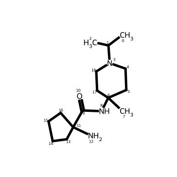 CC(C)N1CCC(C)(NC(=O)C2(N)CCCC2)CC1